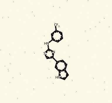 FC(F)(F)c1cccc(Nc2nc(-c3ccc4cc[nH]c4c3)cs2)c1